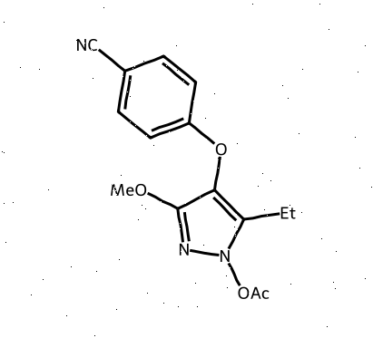 CCc1c(Oc2ccc(C#N)cc2)c(OC)nn1OC(C)=O